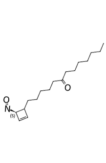 CCCCCCCC(=O)CCCCCC1C=C[C@H]1N=O